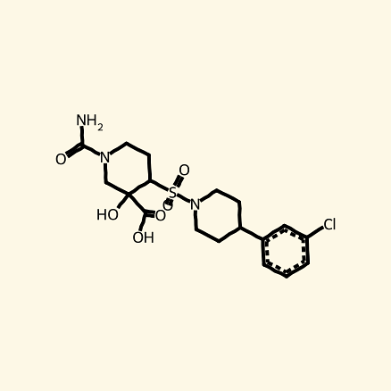 NC(=O)N1CCC(S(=O)(=O)N2CCC(c3cccc(Cl)c3)CC2)C(O)(C(=O)O)C1